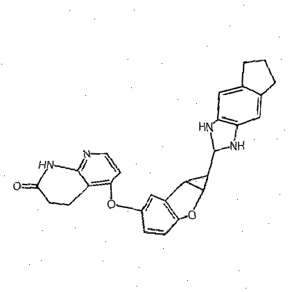 O=C1CCc2c(Oc3ccc4c(c3)C3C(O4)C3C3Nc4cc5c(cc4N3)CCC5)ccnc2N1